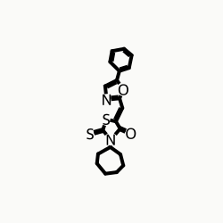 O=C1C(=Cc2ncc(-c3ccccc3)o2)SC(=S)N1C1CCCCCC1